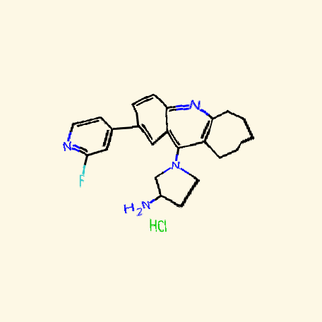 Cl.NC1CCN(c2c3c(nc4ccc(-c5ccnc(F)c5)cc24)CCCCC3)C1